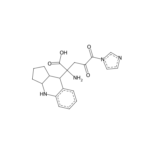 NC(CC(=O)C(=O)n1ccnc1)(C(=O)O)C1c2ccccc2NC2CCCC21